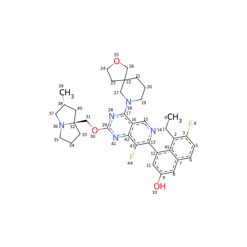 CCc1c(F)ccc2cc(O)cc(-c3ncc4c(N5CCCC6(CCOC6)C5)nc(OC[C@@]56CCCN5C[C@H](C)C6)nc4c3F)c12